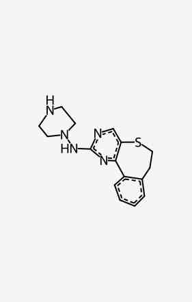 c1ccc2c(c1)CCSc1cnc(NN3CCNCC3)nc1-2